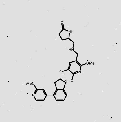 COc1cc(-c2cccc3c2CC[C@@H]3Oc2nc(OC)c(CNCC3CCC(=O)N3)cc2Cl)ccn1